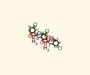 CCCC(C)(Cc1cc(Cl)ccc1O)c1cc(Cl)cc(CC(C)(C)c2cc(Cl)ccc2O)c1O